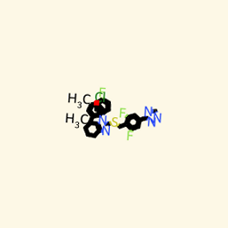 Cc1cc(C2(C)CCCc3nc(SCc4c(F)cc(C5=NCN=N5)cc4F)n(-c4ccc(F)cc4)c32)ccc1Cl